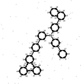 c1ccc(-c2ccc(N(c3ccc(-c4cccc5ccccc45)cc3)c3cccc(-c4ccc(-c5ccc6c7ccccc7c7ccccc7c6c5)cc4)c3)cc2)cc1